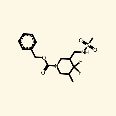 CC1CN(C(=O)OCc2ccccc2)CC(CNS(C)(=O)=O)C1(F)F